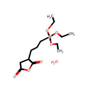 CCO[Si](CCCC1CC(=O)OC1=O)(OCC)OCC.O